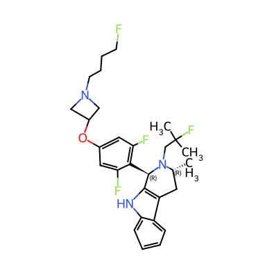 C[C@@H]1Cc2c([nH]c3ccccc23)[C@@H](c2c(F)cc(OC3CN(CCCCF)C3)cc2F)N1CC(C)(C)F